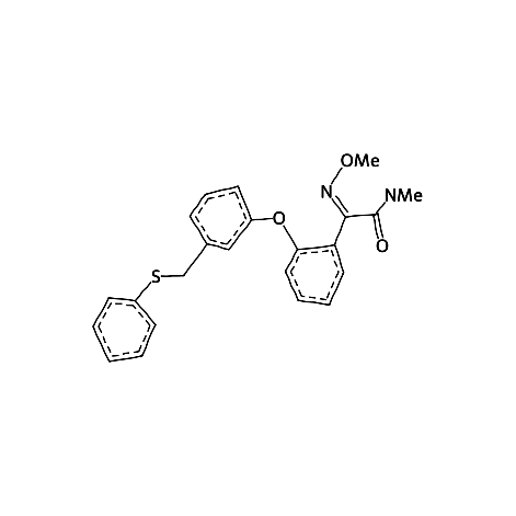 CNC(=O)C(=NOC)c1ccccc1Oc1cccc(CSc2ccccc2)c1